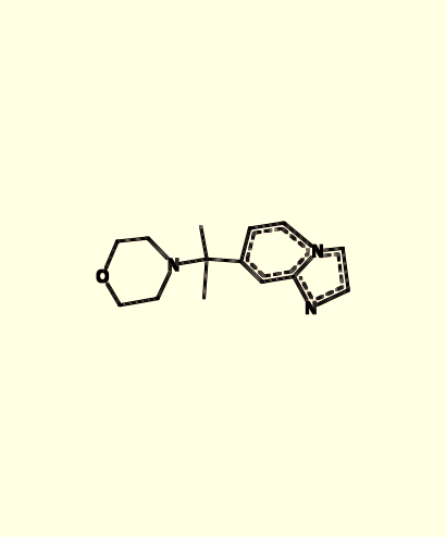 CC(C)(c1ccn2ccnc2c1)N1CCOCC1